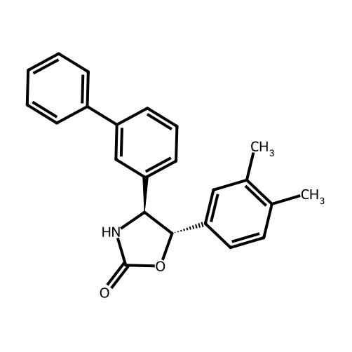 Cc1ccc([C@@H]2OC(=O)N[C@H]2c2cccc(-c3ccccc3)c2)cc1C